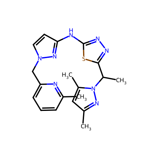 Cc1cccc(Cn2ccc(Nc3nnc(C(C)n4nc(C)cc4C)s3)n2)n1